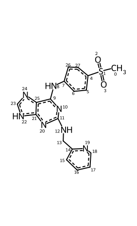 CS(=O)(=O)c1ccc(Nc2nc(NCc3ccccn3)nc3[nH]cnc23)cc1